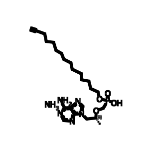 C#CCCCCCCCCCCCCCOP(=O)(O)CO[C@H](C)Cn1cnc2c(N)ncnc21.N